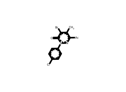 CC(=O)c1nn(-c2ccc(Cl)cc2)c(=O)c(Br)c1C